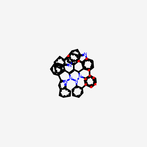 c1ccc(C2=C(c3ccccc3-c3ccccc3)C(c3c(-c4ccccc4)ccc4c3-c3c5c(ccc3=N4)=c3ccccc3=N5)N(c3ccccc3)N(c3ccccc3-c3ccccc3)N2n2c(-c3ccccc3)cc3ccccc32)cc1